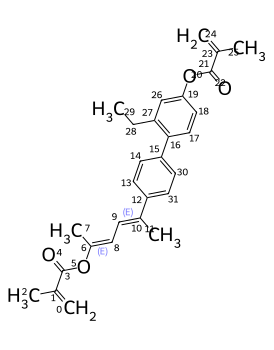 C=C(C)C(=O)O/C(C)=C/C=C(\C)c1ccc(-c2ccc(OC(=O)C(=C)C)cc2CC)cc1